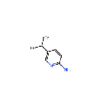 CCCC(CC)c1ccc(N)nc1